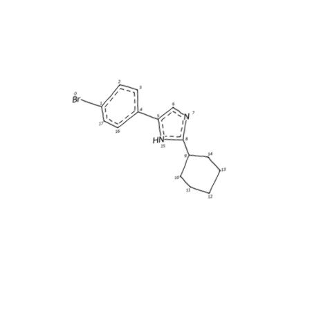 Brc1ccc(-c2cnc(C3CCCCC3)[nH]2)cc1